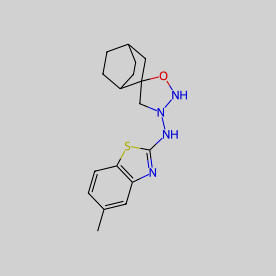 Cc1ccc2sc(NN3CC4(CC5CCC4CC5)ON3)nc2c1